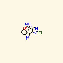 Cn1cc(-c2nc(Cl)ncc2C(C)(C)C(N)=O)c2ccccc21